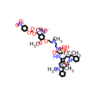 COc1cc(C(C)OC(=O)Oc2ccc([N+](=O)[O-])cc2)c([N+](=O)[O-])cc1OCCN(C)CCNC(=O)C(CS(=O)(=O)O)NC1=C(/C=C2/N(C)c3ccccc3C2(C)C)C(=O)/C1=C\C1=[N+](C)c2ccccc2C1(C)C